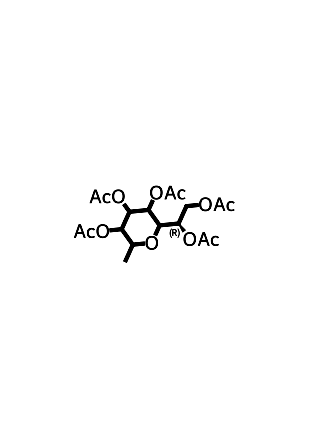 CC(=O)OC[C@@H](OC(C)=O)C1OC(C)C(OC(C)=O)C(OC(C)=O)C1OC(C)=O